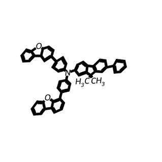 CC1(C)c2cc(-c3ccccc3)ccc2-c2ccc(N(c3ccc(C4=CC5c6ccccc6OC5C=C4)cc3)c3ccc(-c4cccc5c4oc4ccccc45)cc3)cc21